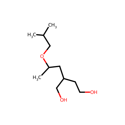 CC(C)COC(C)CC(CO)CCO